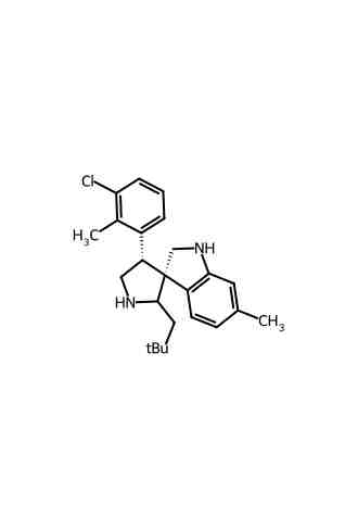 Cc1ccc2c(c1)NC[C@@]21C(CC(C)(C)C)NC[C@@H]1c1cccc(Cl)c1C